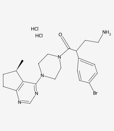 C[C@@H]1CCc2ncnc(N3CCN(C(=O)C(CCN)c4ccc(Br)cc4)CC3)c21.Cl.Cl